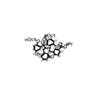 CCCCCCCCOc1ccc(C(C)(C)C)cc1C(O)(c1cc(C(C)(C)C)ccc1OCCCCCCCC)C(Cc1ccccc1)N=Cc1cc(C(=O)OCCC)ccc1O